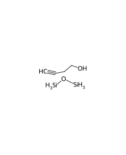 C#CCCO.[SiH3]O[SiH3]